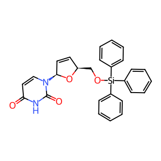 O=c1ccn([C@H]2C=C[C@@H](CO[Si](c3ccccc3)(c3ccccc3)c3ccccc3)O2)c(=O)[nH]1